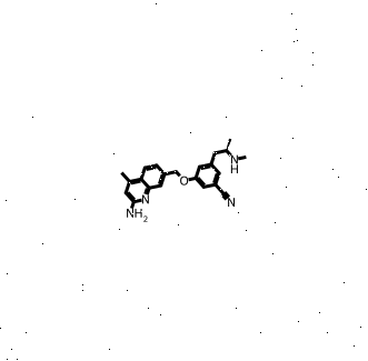 CN[C@H](C)Cc1cc(C#N)cc(OCc2ccc3c(C)cc(N)nc3c2)c1